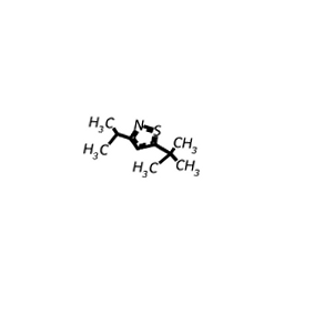 CC(C)c1cc(C(C)(C)C)sn1